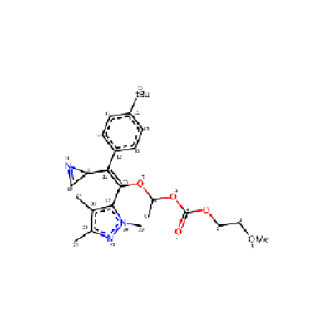 COCCOC(=O)OC(C)O/C(=C(\c1ccc(C(C)(C)C)cc1)C1C=N1)c1c(C)c(C)nn1C